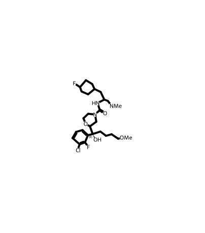 CNCC(CC1CCC(F)CC1)NC(=O)N1CCOC([C@@](O)(CCCCOC)c2cccc(Cl)c2F)C1